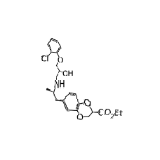 CCOC(=O)[C@H]1COc2cc(C[C@@H](C)NC[C@H](O)COc3ccccc3Cl)ccc2O1